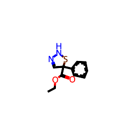 CCOC(=O)C1(c2ccccc2)C=NNS1